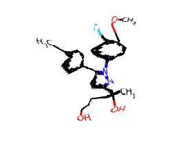 COc1ccc(-n2nc(C(C)(O)CCCO)cc2-c2ccc(C)cc2)cc1F